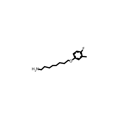 Cc1cc(OCCCCCCCCN)ccc1F